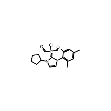 Cc1cc(C)c(-n2ccn(C3CCCC3)[c]2=[Ir]([Cl])([CH]=O)[CH]=O)c(C)c1